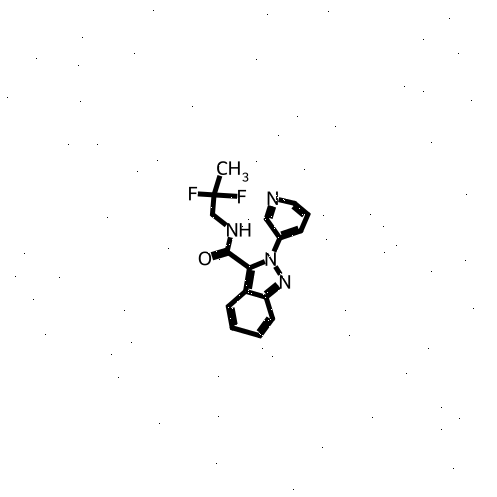 CC(F)(F)CNC(=O)c1c2ccccc2nn1-c1cccnc1